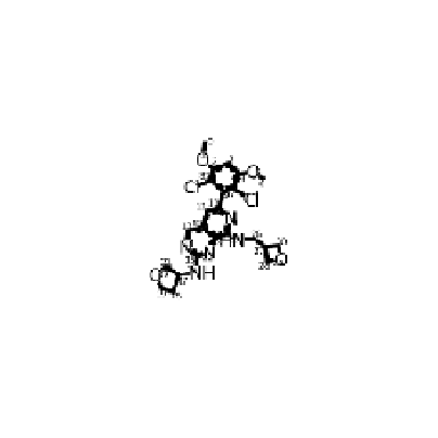 COc1cc(OC)c(Cl)c(-c2cc3cnc(N[C@H]4CCOC4)nc3c(NCC3COC3)n2)c1Cl